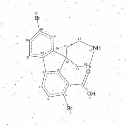 O=C(O)c1c(Br)ccc2c1C1(CCNCC1)c1cc(Br)ccc1-2